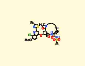 COc1ccc2c(OC3CC4C(=O)N(C)CCCC/C=C\[C@@H]5C[C@@]5(C(=O)NS(=O)(=O)C5CC5)NC(=O)[C@@H]4C3)cc(-c3nc(C(C)C)cs3)nc2c1Cl